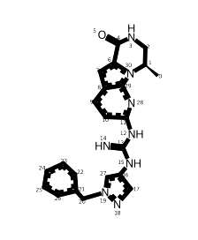 C[C@@H]1CNC(=O)c2cc3ccc(NC(=N)Nc4cnn(Cc5ccccc5)c4)nc3n21